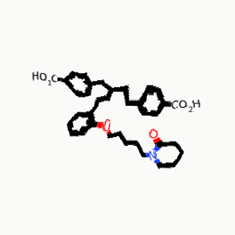 O=C(O)c1ccc(CCC(/C=C/c2ccccc2OCCCCCN2CCCCC2=O)Cc2ccc(C(=O)O)cc2)cc1